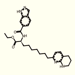 CCOC(=O)[C@H](CCCCCCCc1ccc2c(n1)NCCC2)NC(=O)c1ccc2cn[nH]c2c1